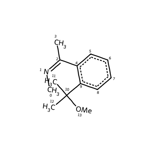 C/N=C(/C)c1ccccc1C(C)(C)OC